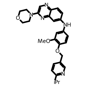 COc1cc(Nc2ccc3ncc(N4CCOCC4)nc3c2)ccc1OCc1ccc(C(C)C)nc1